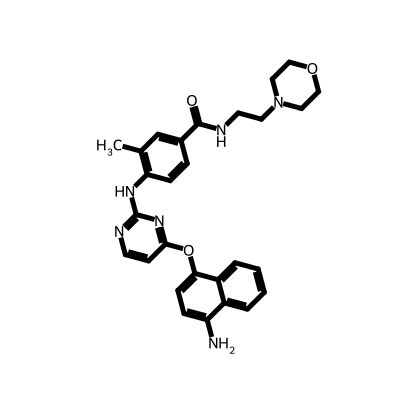 Cc1cc(C(=O)NCCN2CCOCC2)ccc1Nc1nccc(Oc2ccc(N)c3ccccc23)n1